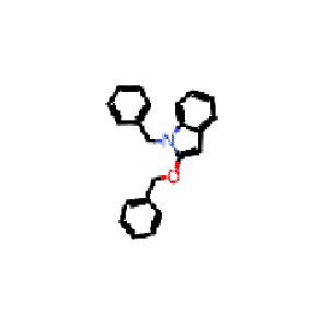 c1ccc(COc2cc3ccccc3n2Cc2ccccc2)cc1